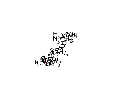 CC(C)c1c2oc3cc4cc(N(c5ccccc5C(C)(C)C)c5ccccc5C(C)(C)C)ccc4cc3c2cc2oc3cc4cc(N(c5ccccc5C(C)(C)C)c5ccccc5C(C)(C)C)ccc4cc3c12